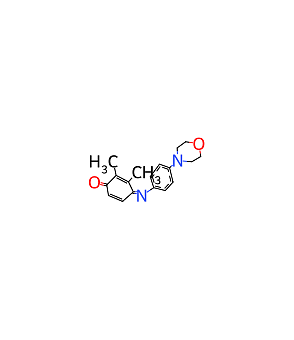 CC1=C(C)/C(=N\c2ccc(N3CCOCC3)cc2)C=CC1=O